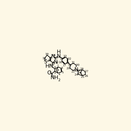 NC(=O)C1C2C=CC(C2)C1Nc1nc(Nc2ccc(C3CCN(C4CC5CCC4C5)CC3)cc2)nc2c1SCC2